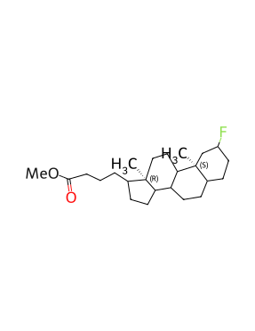 COC(=O)CCCC1CCC2C3CCC4CCC(F)C[C@]4(C)C3CC[C@]12C